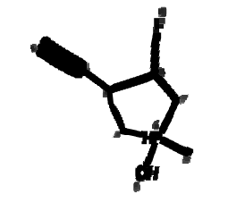 C#CC1C[PH](C)(O)CC1F